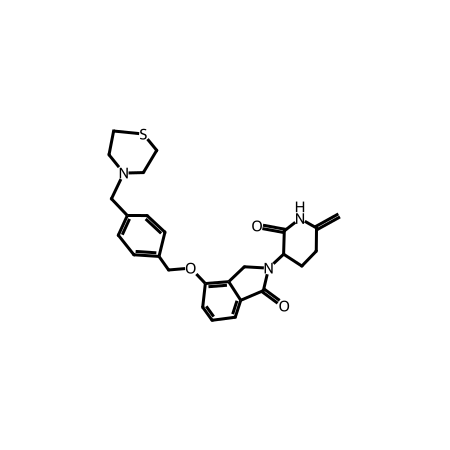 C=C1CCC(N2Cc3c(OCc4ccc(CN5CCSCC5)cc4)cccc3C2=O)C(=O)N1